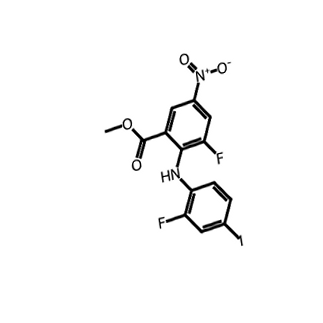 COC(=O)c1cc([N+](=O)[O-])cc(F)c1Nc1ccc(I)cc1F